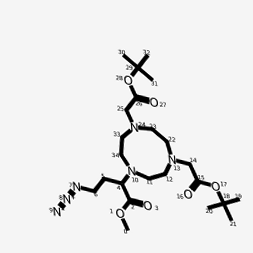 COC(=O)C(CCN=[N+]=[N-])N1CCN(CC(=O)OC(C)(C)C)CCN(CC(=O)OC(C)(C)C)CC1